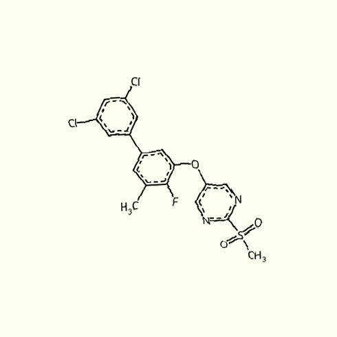 Cc1cc(-c2cc(Cl)cc(Cl)c2)cc(Oc2cnc(S(C)(=O)=O)nc2)c1F